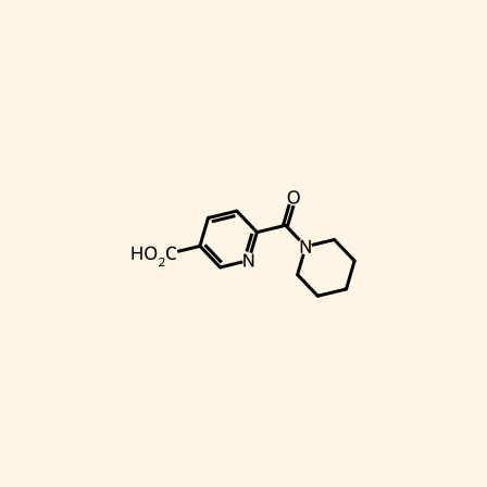 O=C(O)c1ccc(C(=O)N2CCCCC2)nc1